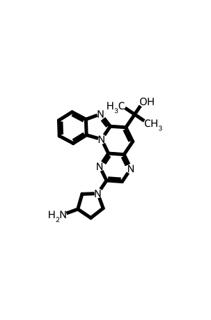 CC(C)(O)c1cc2ncc(N3CCC(N)C3)nc2n2c1nc1ccccc12